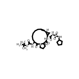 CC(C)(C)OC(=O)NC1CCCCC/C=C\[C@@H]2C[C@@]2(C(=O)NS(=O)(=O)NC2CCCC2)NC(=O)[C@@H]2CCCN2C1=O